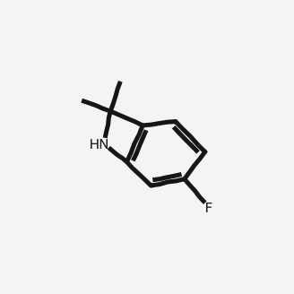 CC1(C)Nc2cc(F)ccc21